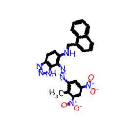 Cc1c(/N=N/c2c(NCc3cccc4ccccc34)ccc3nn[nH]c23)cc([N+](=O)[O-])cc1[N+](=O)[O-]